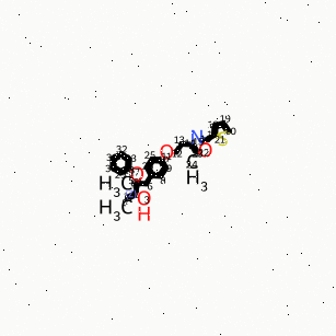 C/C=C(\O)[C@](C)(Cc1ccc(OCCc2nc(-c3cccs3)oc2C)cc1)Oc1ccccc1